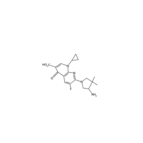 CC1(C)CN(c2nc3c(cc2F)c(=O)c(C(=O)O)cn3C2CC2)CC1N